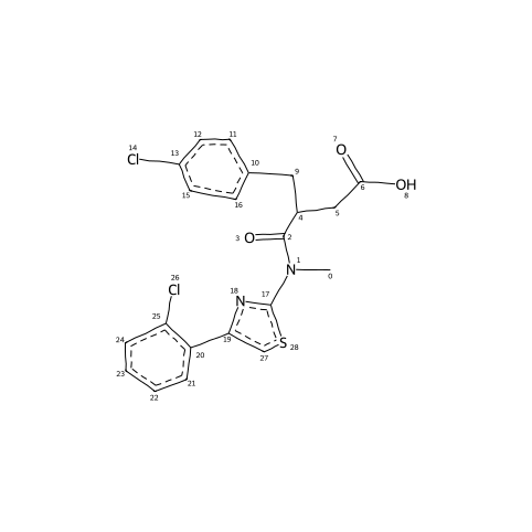 CN(C(=O)C(CC(=O)O)Cc1ccc(Cl)cc1)c1nc(-c2ccccc2Cl)cs1